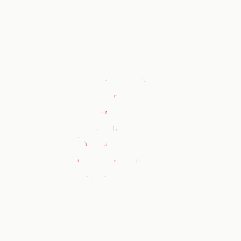 CC1=C(N(C2=C(CC3C=CC=CC3)CCC=C2)C2C=CC=CC2c2ncccc2C#N)C(C)CCC1